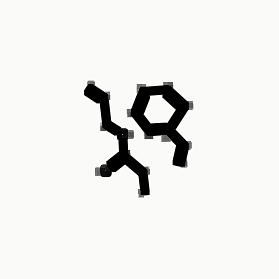 C=CCOC(=O)CC.C=Cc1ccccc1